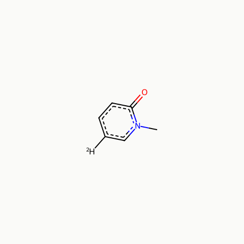 [2H]c1ccc(=O)n(C)c1